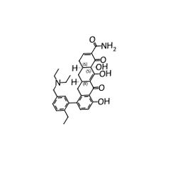 CCc1ccc(CN(CC)CC)cc1-c1ccc(O)c2c1C[C@H]1C[C@H]3CC=C(C(N)=O)C(=O)[C@@]3(O)C(O)=C1C2=O